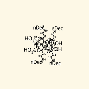 CCCCCCCCCCCCCC(=O)C(O)C(O)C(O)C(=O)CCCCCCCCCCCCC.CCCCCCCCCCCCCC(=O)C(O)C(O)C(O)C(=O)CCCCCCCCCCCCC.O=C(O)CCCC(=O)O